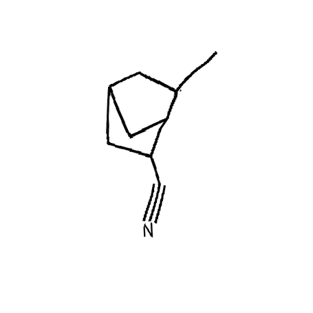 C[C]1CC2CC(C#N)C1C2